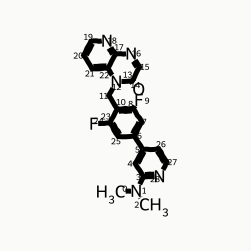 CN(C)c1cc(-c2cc(F)c(Cn3c(=O)cnc4ncccc43)c(F)c2)ccn1